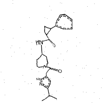 CC(C)c1cc(C(=O)N2CCC(NC(=O)C3CC3c3ccccc3)C2)[nH]n1